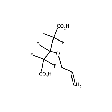 C=CCOC(F)(C(F)(F)C(=O)O)C(F)(F)C(=O)O